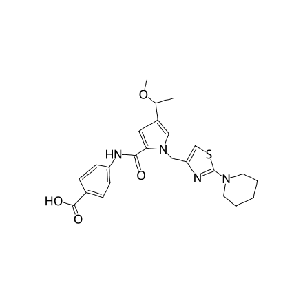 COC(C)c1cc(C(=O)Nc2ccc(C(=O)O)cc2)n(Cc2csc(N3CCCCC3)n2)c1